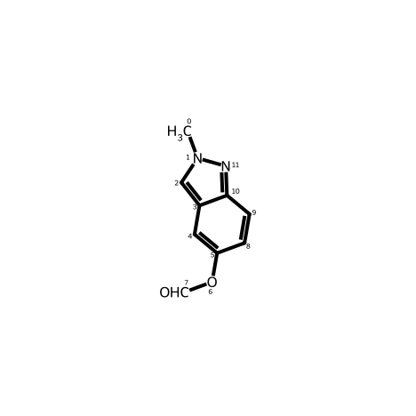 Cn1cc2cc(OC=O)ccc2n1